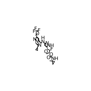 CC1(NC(=O)O[C@H]2CO[C@@H](c3cc(Nc4nc(C5CC5)cn5nc(COC(F)(F)F)cc45)n[nH]3)[C@@H]2F)CC1